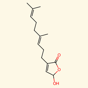 CC(C)=CCC/C(C)=C/CCC1=CC(O)OC1=O